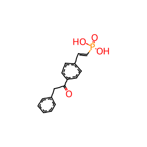 O=C(Cc1ccccc1)c1ccc(C=CP(=O)(O)O)cc1